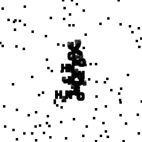 Cn1c(C(N)=O)cnc1NC(=O)OC(C)(C)C